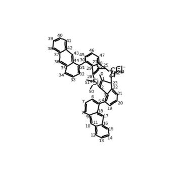 CC1=C2c3c(-c4cccc5cc6ccccc6cc45)cccc3[CH]1[Zr+2][CH]1C(C)=C(c3c(-c4cccc5cc6ccccc6cc45)cccc31)[Si]2(C)C.[Cl-].[Cl-]